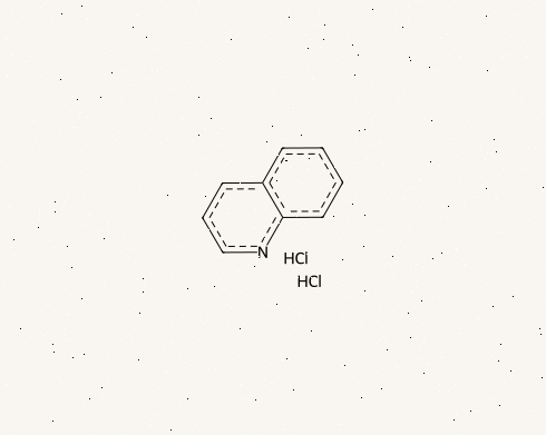 Cl.Cl.c1ccc2ncccc2c1